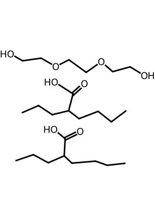 CCCCC(CCC)C(=O)O.CCCCC(CCC)C(=O)O.OCCOCCOCCO